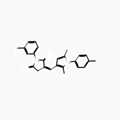 Cc1ccc(-n2c(C)cc(C=C3CC(=O)N(c4cccc(Cl)c4)C3=O)c2C)cc1